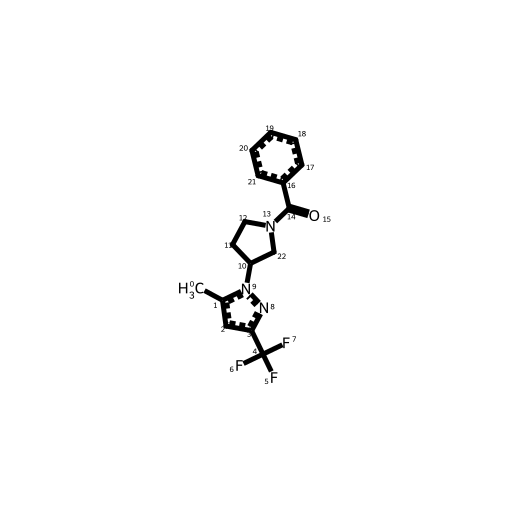 Cc1cc(C(F)(F)F)nn1C1CCN(C(=O)c2ccccc2)C1